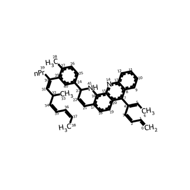 C=C/C=C\C(=C/C)c1c2ccccc2nc2c3c(ccc12)C=CC(c1ccc(C)c(/C(=C\C(C)/C=C\C=C/C)CCC)c1)N3